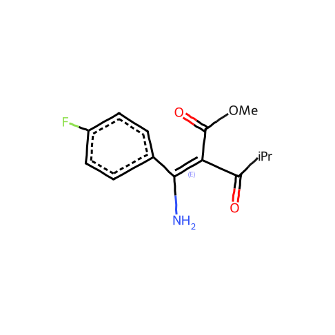 COC(=O)/C(C(=O)C(C)C)=C(/N)c1ccc(F)cc1